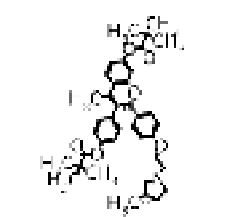 CC1=C(c2ccc(OC(=O)C(C)(C)C)cc2)[C@H](c2ccc(OCCN3CC[C@@H](C)C3)cc2)Oc2cc(OC(=O)C(C)(C)C)ccc21